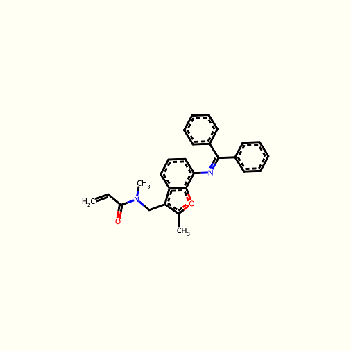 C=CC(=O)N(C)Cc1c(C)oc2c(N=C(c3ccccc3)c3ccccc3)cccc12